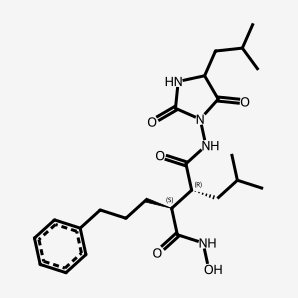 CC(C)CC1NC(=O)N(NC(=O)[C@H](CC(C)C)[C@H](CCCc2ccccc2)C(=O)NO)C1=O